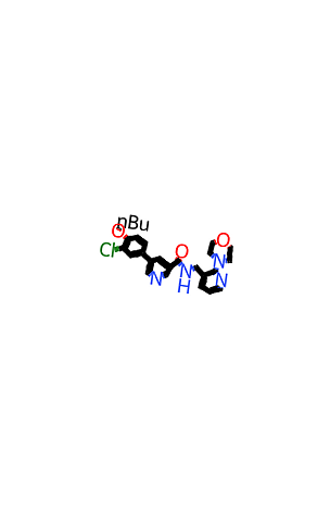 CCCCOc1ccc(-c2cncc(C(=O)NCc3cccnc3N3CCOCC3)c2)cc1Cl